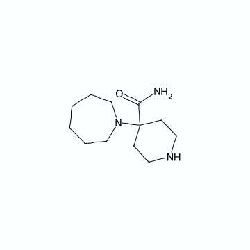 NC(=O)C1(N2CCCCCC2)CCNCC1